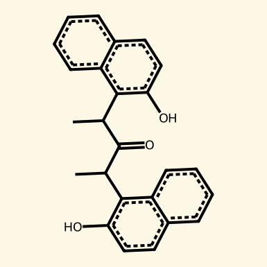 CC(C(=O)C(C)c1c(O)ccc2ccccc12)c1c(O)ccc2ccccc12